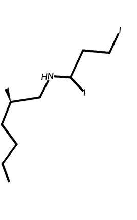 CCCC[C@@H](C)CNC(I)CCI